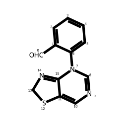 O=Cc1ccccc1N1C=NC=C2SCN=C21